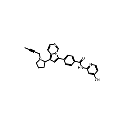 CC#CCN1CCCC1c1cc(-c2ccc(C(=O)Nc3cc(C#N)ccn3)cc2)n2cnccc12